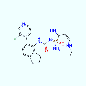 CCN/C=C\C(=N)S(N)(=O)=NC(=O)Nc1c(-c2ccncc2F)ccc2c1CCC2